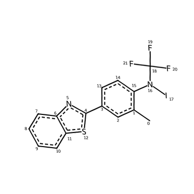 Cc1cc(-c2nc3ccccc3s2)ccc1N(I)C(F)(F)F